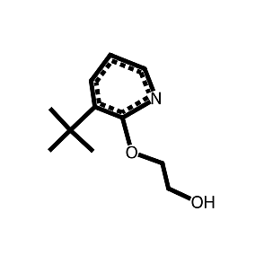 CC(C)(C)c1cccnc1OCCO